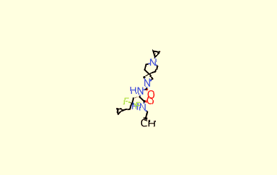 C#CCNC(=O)[C@H](CC(F)(F)CC1CC1)NC(=O)N1CC2(CCN(C3CC3)CC2)C1